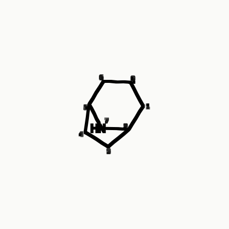 [CH]1CC2CCC(C1)N2